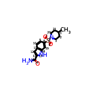 CC1CCN(S(=O)(=O)c2ccc3cc(C(N)=O)[nH]c3c2)CC1